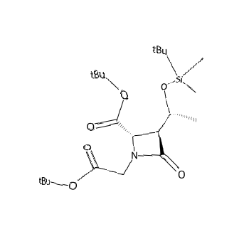 C[C@@H](O[Si](C)(C)C(C)(C)C)[C@H]1C(=O)N(CC(=O)OC(C)(C)C)[C@@H]1C(=O)OC(C)(C)C